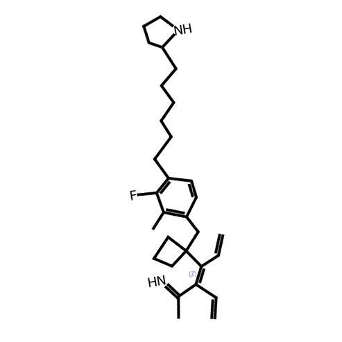 C=C/C(C(C)=N)=C(\C=C)C1(Cc2ccc(CCCCCCC3CCCN3)c(F)c2C)CCC1